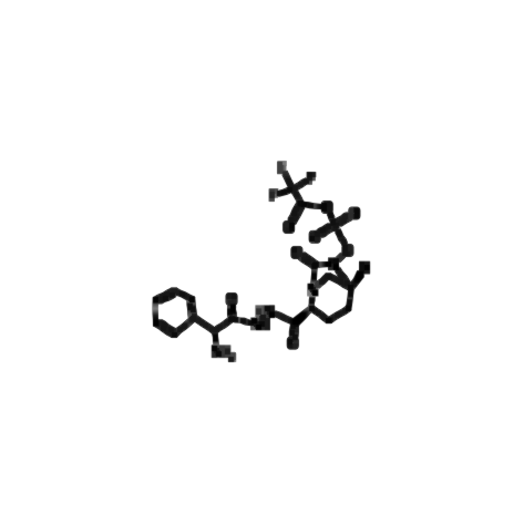 NC(C(=O)NNC(=O)[C@@H]1CC[C@@H]2CN1C(=O)N2OS(=O)(=O)OC(=O)C(F)(F)F)c1ccccc1